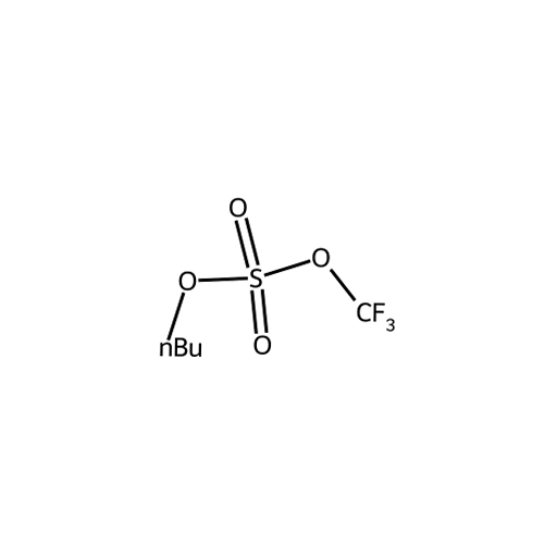 CCCCOS(=O)(=O)OC(F)(F)F